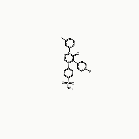 Cc1cccc(-n2ncc(-c3ccc(S(N)(=O)=O)cc3)c(-c3ccc(F)cc3)c2=O)c1